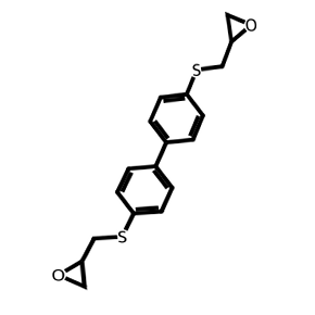 c1cc(-c2ccc(SCC3CO3)cc2)ccc1SCC1CO1